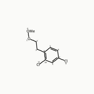 COOCCc1ccc(Cl)cc1Cl